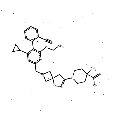 CCOc1cc(CN2CC3(CC(N4CCC(C)(C(=O)O)CC4)=NO3)C2)cc(C2CC2)c1-c1ccccc1C#N